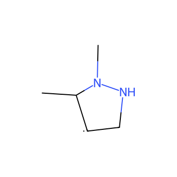 CC1[CH]CNN1C